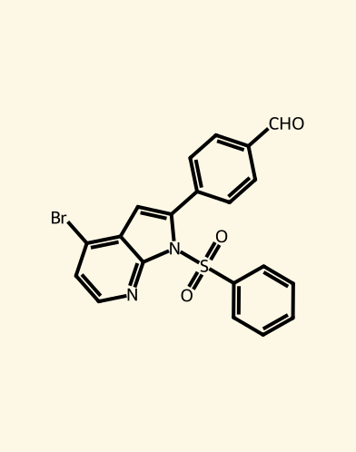 O=Cc1ccc(-c2cc3c(Br)ccnc3n2S(=O)(=O)c2ccccc2)cc1